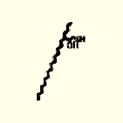 CCCCCCCCCCCCCCCCC(CCCC)C(O)CS